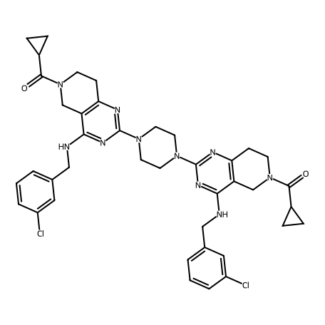 O=C(C1CC1)N1CCc2nc(N3CCN(c4nc5c(c(NCc6cccc(Cl)c6)n4)CN(C(=O)C4CC4)CC5)CC3)nc(NCc3cccc(Cl)c3)c2C1